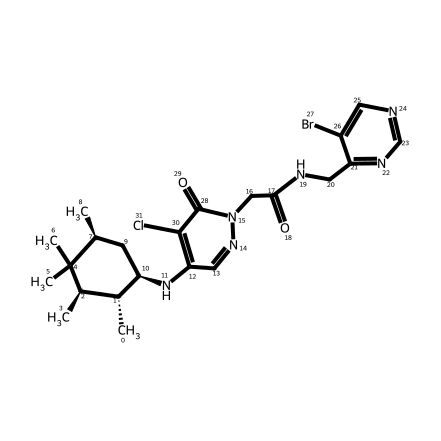 C[C@@H]1[C@@H](C)C(C)(C)[C@@H](C)C[C@H]1Nc1cnn(CC(=O)NCc2ncncc2Br)c(=O)c1Cl